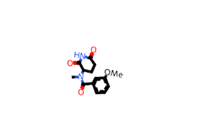 COc1cccc(C(=O)N(C)C2CCC(=O)NC2=O)c1